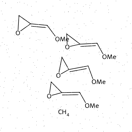 C.COC=C1CO1.COC=C1CO1.COC=C1CO1.COC=C1CO1